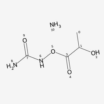 CC(O)C(=O)ONC(N)=O.N